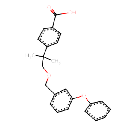 CC(C)(COCc1cccc(Oc2ccccc2)c1)c1ccc(C(=O)O)cc1